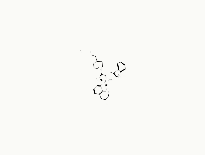 CC(=O)OCCC1CCN(C(=O)[C@H](Cc2c[nH]c3ccccc23)N(C)S(=O)(=O)c2cccc3c2NC[C@@H](C)C3)CC1